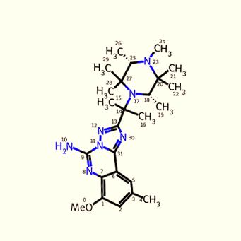 COc1cc(C)cc2c1nc(N)n1nc(C(C)(C)N3[C@@H](C)C(C)(C)N(C)[C@@H](C)C3(C)C)nc21